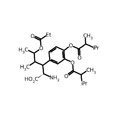 CCC(=O)OC(C)C(C)C(c1ccc(OC(=O)C(C)C(C)C)c(OC(=O)C(C)C(C)C)c1)[C@H](N)C(=O)O